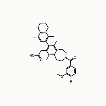 COc1cc(C(=O)N2CCc3c(C)c(CC(=O)O)c(-c4cc(F)c5c(c4C)CCCO5)c(C)c3CC2)ccc1F